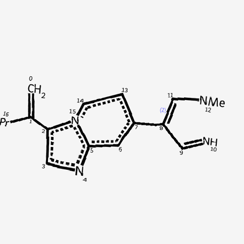 C=C(c1cnc2cc(/C(C=N)=C/NC)ccn12)C(C)C